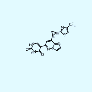 O=c1[nH]cc(-c2cc([C@H]3C[C@@H]3c3nc(C(F)(F)F)cs3)c3nccn3n2)c(=O)[nH]1